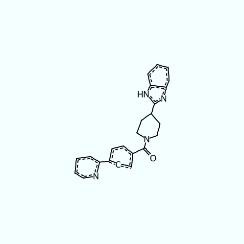 O=C(c1ccc(-c2ccccn2)cc1)N1CCC(c2nc3ccccc3[nH]2)CC1